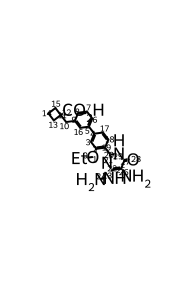 CCOc1cc(-c2cccc(CC3(C(=O)O)CCC3)c2)ccc1-c1nc(NN)c(N)c(=O)[nH]1